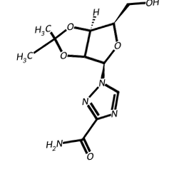 CC1(C)OC2[C@@H](O1)[C@@H](CO)O[C@H]2n1cnc(C(N)=O)n1